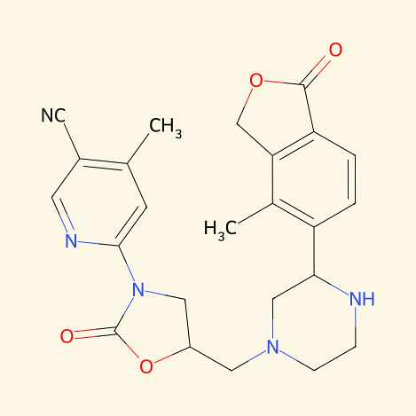 Cc1cc(N2CC(CN3CCNC(c4ccc5c(c4C)COC5=O)C3)OC2=O)ncc1C#N